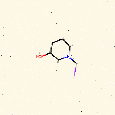 OC1CCCN(CI)C1